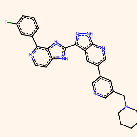 Fc1cccc(-c2nccc3[nH]c(-c4n[nH]c5ncc(-c6cncc(CN7CCCCC7)c6)cc45)nc23)c1